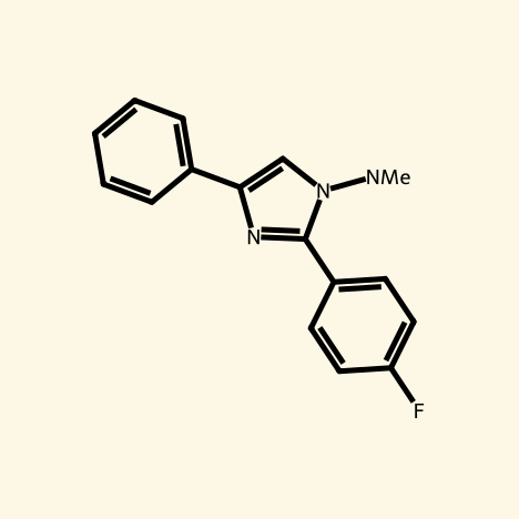 CNn1cc(-c2ccccc2)nc1-c1ccc(F)cc1